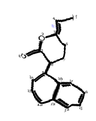 O=C1O/C(=C/I)CCC1c1cccc2ccccc12